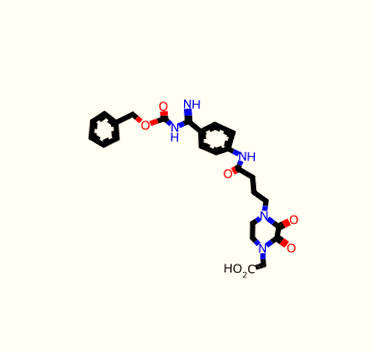 N=C(NC(=O)OCc1ccccc1)c1ccc(NC(=O)CCCN2CCN(CC(=O)O)C(=O)C2=O)cc1